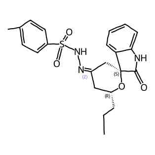 CCC[C@@H]1C/C(=N/NS(=O)(=O)c2ccc(C)cc2)C[C@@]2(O1)C(=O)Nc1ccccc12